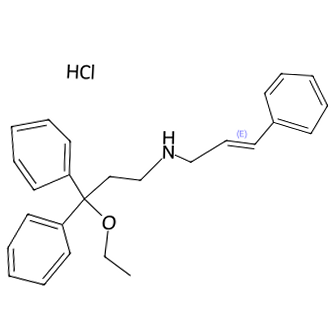 CCOC(CCNC/C=C/c1ccccc1)(c1ccccc1)c1ccccc1.Cl